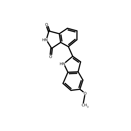 COc1ccc2[nH]c(-c3cccc4c3C(=O)NC4=O)cc2c1